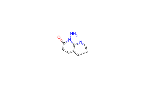 Nn1c(=O)ccc2cccnc21